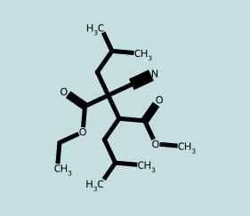 CCOC(=O)C(C#N)(CC(C)C)C(CC(C)C)C(=O)OC